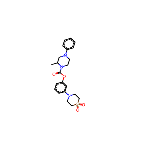 CC1CN(c2ccccc2)CCN1C(=O)Oc1cccc(N2CCS(=O)(=O)CC2)c1